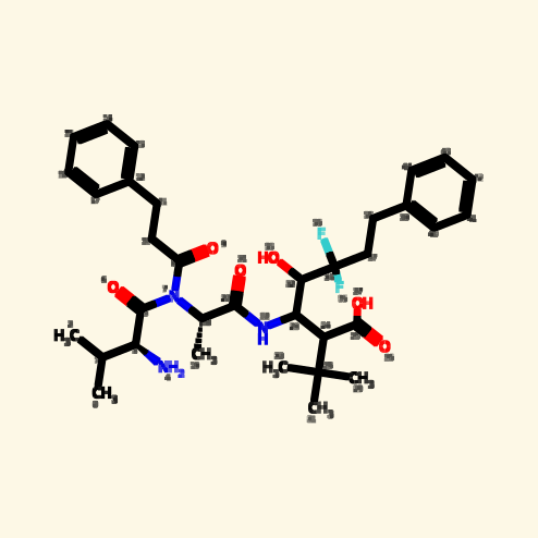 CC(C)[C@H](N)C(=O)N(C(=O)CCc1ccccc1)[C@@H](C)C(=O)NC(C(C(=O)O)C(C)(C)C)C(O)C(F)(F)CCc1ccccc1